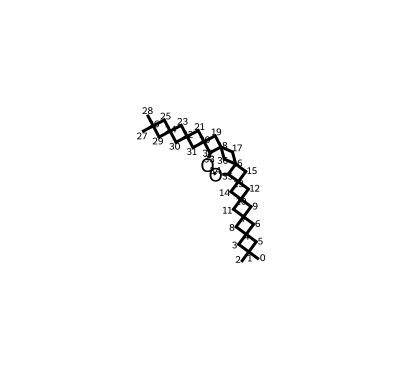 CC1(C)CC2(C1)CC1(C2)CC2(C1)CC1(C2)CC23CC4(CC5(CC6(CC7(CC(C)(C)C7)C6)C5)C4OOC12)C3